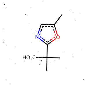 Cc1cnc(C(C)(C)C(=O)O)o1